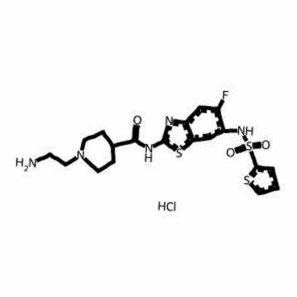 Cl.NCCN1CCC(C(=O)Nc2nc3cc(F)c(NS(=O)(=O)c4cccs4)cc3s2)CC1